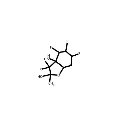 CC1(O)OC2CC(F)C(F)C(F)C2(O)C1(F)F